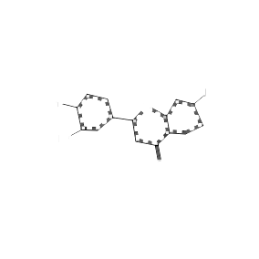 CC(C)c1ccc(-c2cc(=O)c3ccc(F)cc3o2)cc1O